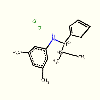 Cc1cc(C)cc([NH][Hf+2]([C]2=CC=CC2)[SiH](C)C)c1.[Cl-].[Cl-]